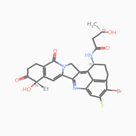 CC[C@@]1(O)C(=O)CCc2c1cc1n(c2=O)Cc2c-1nc1cc(F)c(Br)c3c1c2[C@@H](NC(=O)C[C@H](C)O)CC3